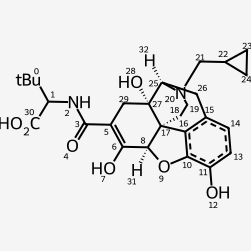 CC(C)(C)C(NC(=O)C1=C(O)[C@@H]2Oc3c(O)ccc4c3[C@@]23CCN(CC2CC2)[C@H](C4)[C@]3(O)C1)C(=O)O